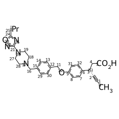 CC#C[C@@H](CC(=O)O)c1ccc(OCc2ccc(CN3CCN(c4noc(C(C)C)n4)CC3)cc2)cc1